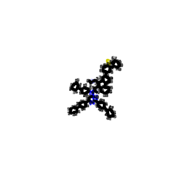 C/C=C/c1c(/C=C(\C)N(c2ccc(-c3ccccc3)cc2)c2cc(-c3ccc(-c4ccccc4)cc3)nc(-c3ccc(-c4ccccc4)cc3)n2)c2ccccc2c2ccc(-c3ccc4sc5ccccc5c4c3)cc12